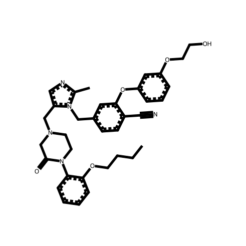 CCCCOc1ccccc1N1CCN(Cc2cnc(C)n2Cc2ccc(C#N)c(Oc3cccc(OCCO)c3)c2)CC1=O